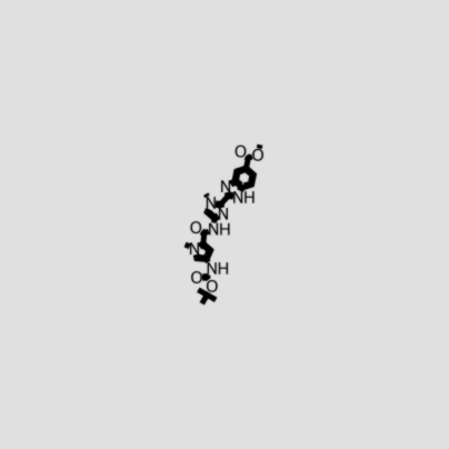 COC(=O)c1ccc2[nH]c(-c3nc(NC(=O)c4cc(NC(=O)OC(C)(C)C)cn4C)cn3C)nc2c1